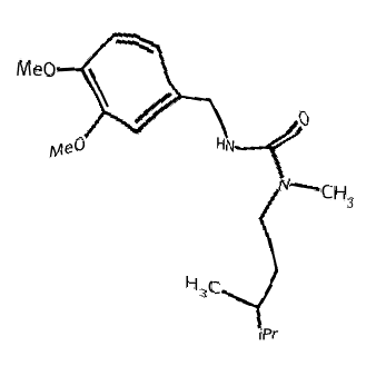 COc1ccc(CNC(=O)N(C)CCC(C)C(C)C)cc1OC